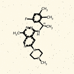 Cc1cc(F)cc([C@@H](C)Nc2nnc(C)c3cnc(N4CCN(C)CC4)cc23)c1C